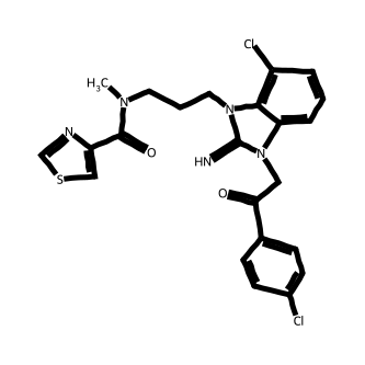 CN(CCCn1c(=N)n(CC(=O)c2ccc(Cl)cc2)c2cccc(Cl)c21)C(=O)c1cscn1